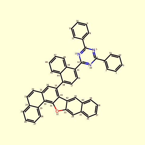 c1ccc(-c2nc(-c3ccccc3)nc(-c3ccc(-c4cc5ccc6ccccc6c5c5oc6cc7ccccc7cc6c45)c4ccccc34)n2)cc1